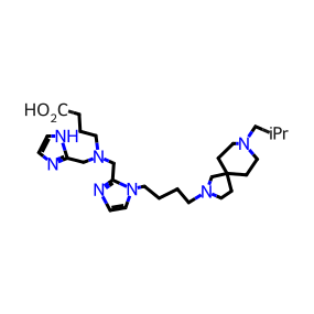 CC(C)CN1CCC2(CC1)CCN(CCCCn1ccnc1CN(CCCC(=O)O)Cc1ncc[nH]1)C2